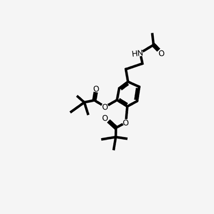 CC(=O)NCCc1ccc(OC(=O)C(C)(C)C)c(OC(=O)C(C)(C)C)c1